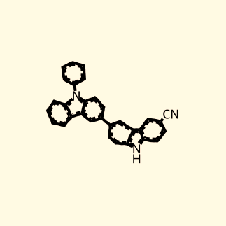 N#Cc1ccc2[nH]c3ccc(-c4ccc5c(c4)c4ccccc4n5-c4ccccc4)cc3c2c1